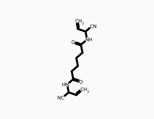 C=CC(C#N)NC(=O)CCCCC(=O)NC(C#N)C=C